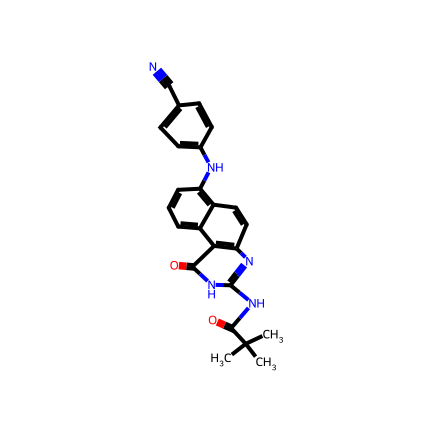 CC(C)(C)C(=O)Nc1nc2ccc3c(Nc4ccc(C#N)cc4)cccc3c2c(=O)[nH]1